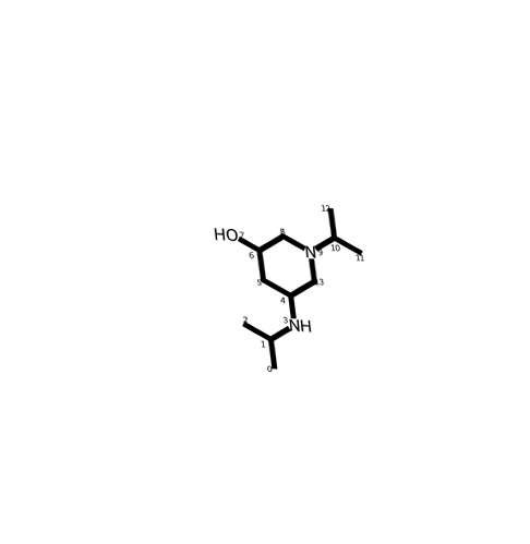 CC(C)NC1CC(O)CN(C(C)C)C1